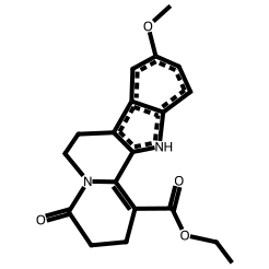 CCOC(=O)C1=C2c3[nH]c4ccc(OC)cc4c3CCN2C(=O)CC1